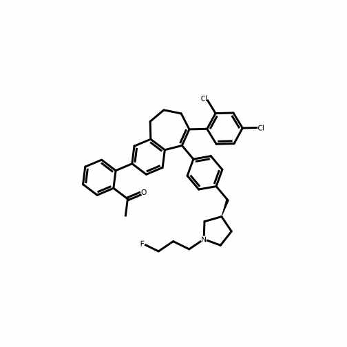 CC(=O)c1ccccc1-c1ccc2c(c1)CCCC(c1ccc(Cl)cc1Cl)=C2c1ccc(C[C@H]2CCN(CCCF)C2)cc1